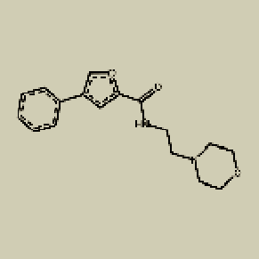 O=C(NCCN1CCOCC1)c1cc(-c2ccccc2)co1